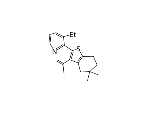 C=C(C)c1c(-c2ncccc2CC)sc2c1CC(C)(C)CC2